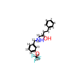 O[C@H](CCc1ccccc1)CNCc1cccc(OC(F)(F)F)c1